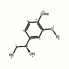 CCOc1cc([C@@H](O)CS)ccc1OC